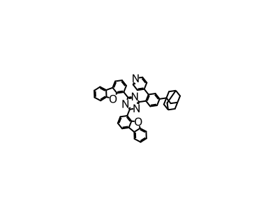 c1ccc2c(c1)oc1c(-c3nc(-c4ccc(C56CC7CC(CC(C7)C5)C6)cc4-c4ccncc4)nc(-c4cccc5c4oc4ccccc45)n3)cccc12